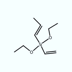 C=C[Si](C=CC)(OCC)OCC